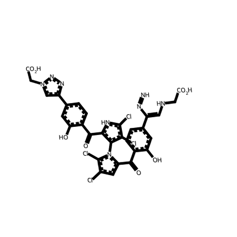 N=N/C(=C\NCC(=O)O)c1ccc(C(=O)c2cc(Cl)c(Cl)n2-c2c(C(=O)c3ccc(-c4cn(CC(=O)O)nn4)cc3O)[nH]c(Cl)c2Cl)c(O)c1